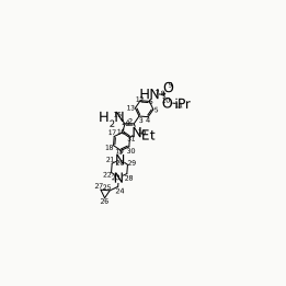 CCn1c(-c2ccc(NC(=O)OC(C)C)cc2)c(N)c2ccc(N3CCN(CC4CC4)CC3)cc21